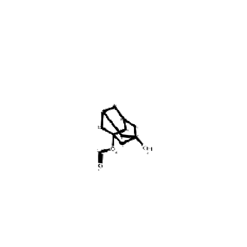 O=[C]OC12CC3CC(CC(O)(C3)C1)C2